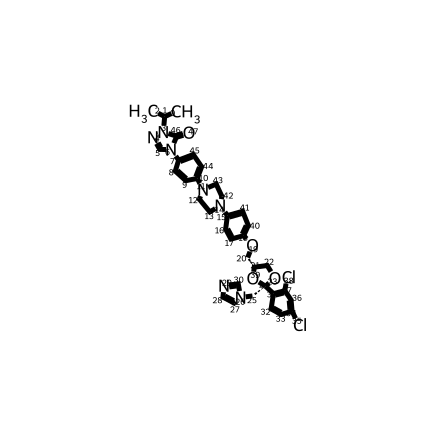 CC(C)n1ncn(-c2ccc(N3CCN(c4ccc(OC[C@@H]5CO[C@@](Cn6ccnc6)(c6ccc(Cl)cc6Cl)O5)cc4)CC3)cc2)c1=O